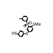 CSc1ccc(Sc2ccc(S)cc2)cc1S(=O)(=O)c1cccc(C)c1